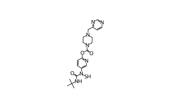 CC(C)(C)NC(=O)N(S)c1ccc(OC(=O)N2CCN(Cc3ccncn3)CC2)nc1